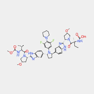 CC[C@](C)(NC(=O)O)C(=O)N1C[C@@H](OC)C[C@H]1c1nc2cc([C@H]3CC[C@H](c4ccc5[nH]c([C@@H]6C[C@H](OC)CN6C(=O)[C@@H](NC(=O)OC)C(C)C)nc5c4)N3c3cc(F)c(N4CCCCC4)c(F)c3)ccc2[nH]1